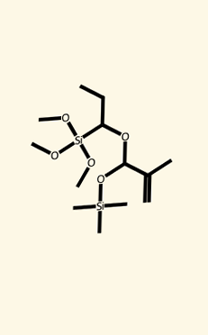 C=C(C)C(OC(CC)[Si](OC)(OC)OC)O[Si](C)(C)C